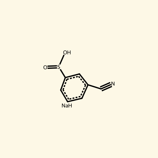 N#Cc1cccc(S(=O)O)c1.[NaH]